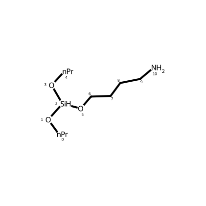 CCCO[SiH](OCCC)OCCCCN